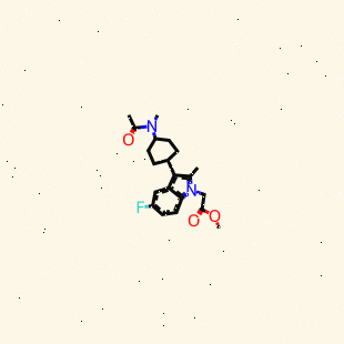 COC(=O)Cn1c(C)c(C2CCC(N(C)C(C)=O)CC2)c2cc(F)ccc21